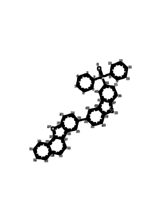 O=P(c1ccccc1)(c1ccccc1)c1ccc2sc3ccc(-c4ccc5oc6c7ccccc7ccc6c5c4)cc3c2c1